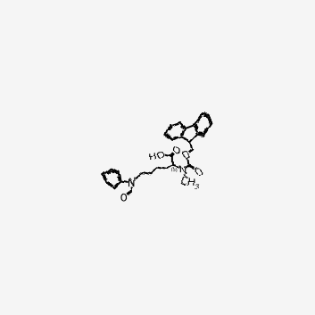 CN(C(=O)OCC1c2ccccc2-c2ccccc21)[C@@H](CCCCN(C=O)c1ccccc1)C(=O)O